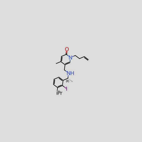 C=CCCn1cc(CN[C@H](C)c2cccc(C(C)C)c2I)c(C)cc1=O